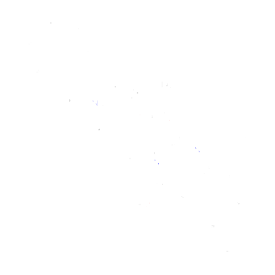 CC(C)Cn1c(=O)n(CC(CN2CCc3ccccc3C2)O[Si](C)(C)C(C)(C)C)c(=O)c2cc(Br)ccc21